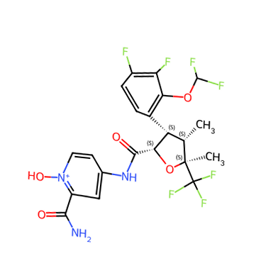 C[C@H]1[C@@H](c2ccc(F)c(F)c2OC(F)F)[C@@H](C(=O)Nc2cc[n+](O)c(C(N)=O)c2)O[C@]1(C)C(F)(F)F